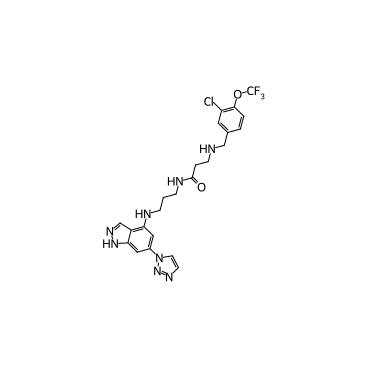 O=C(CCNCc1ccc(OC(F)(F)F)c(Cl)c1)NCCCNc1cc(-n2ccnn2)cc2[nH]ncc12